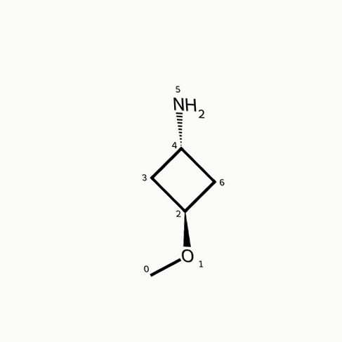 CO[C@H]1C[C@H](N)C1